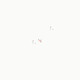 CN1CC2CCC(C1)N2Cc1ccccc1C#N